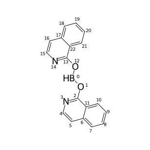 B(Oc1nccc2ccccc12)Oc1nccc2ccccc12